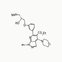 CCOC(=O)c1c(-c2cccc(OCC(O)CNC)c2)nc2c(cnn2C(C)C)c1N1CCOCC1